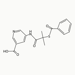 CC(C)(SC(=O)c1ccccc1)C(=O)Nc1cncc(C(=O)O)c1